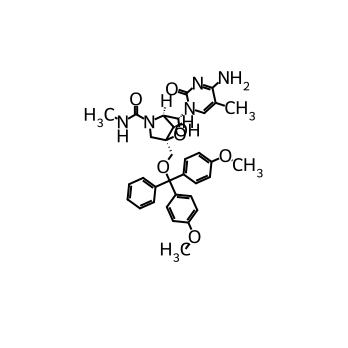 CNC(=O)N1C[C@]2(COC(c3ccccc3)(c3ccc(OC)cc3)c3ccc(OC)cc3)O[C@@H](n3cc(C)c(N)nc3=O)[C@H]1[C@@H]2O